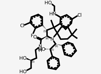 CC1(C)CCC2(CC1)N([C@H](c1ccccc1)[C@@H](O)c1ccccc1)[C@@H](C(=O)NCC[C@H](O)CO)[C@H](c1cccc(Cl)c1F)C2(C)c1ccc(Cl)cc1NCO